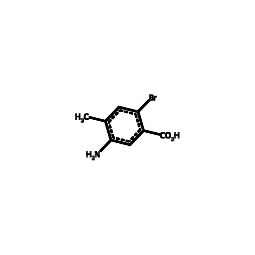 Cc1cc(Br)c(C(=O)O)cc1N